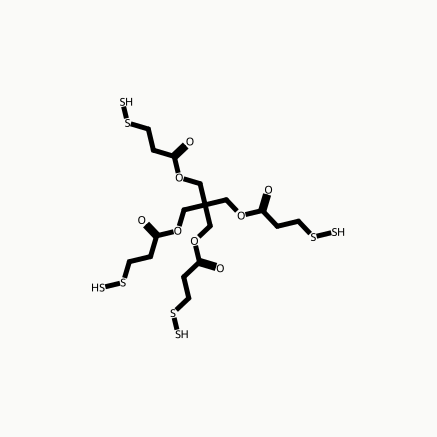 O=C(CCSS)OCC(COC(=O)CCSS)(COC(=O)CCSS)COC(=O)CCSS